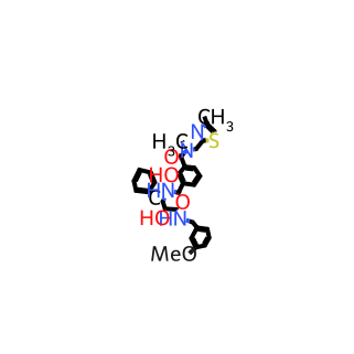 COc1cccc(CNC[C@@H](O)[C@H](Cc2ccccc2)NC(=O)c2cccc(C(=O)N(C)Cc3nc(C)cs3)c2O)c1